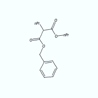 CCCOC(=O)C(CCC)C(=O)OCc1ccccc1